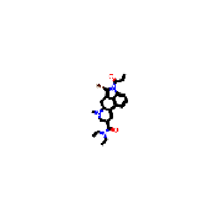 CCC(=O)n1c(Br)c2c3c(cccc31)C1=CC(C(=O)N(CC)CC)CN(C)C1C2